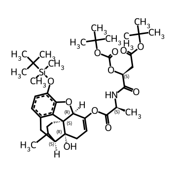 CC1CC[C@]23c4c5ccc(O[Si](C)(C)C(C)(C)C)c4O[C@H]2C(OC(=O)[C@H](C)NC(=O)[C@H](CC(=O)OC(C)(C)C)OC(=O)OC(C)(C)C)=CC[C@@]3(O)[C@H]1C5